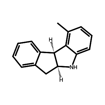 Cc1cccc2c1[C@@H]1c3ccccc3C[C@@H]1N2